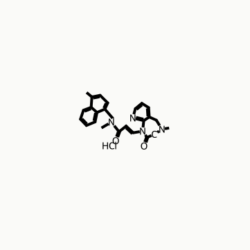 Cc1ccc(CN(C)C(=O)C=CN2C(=O)CN(C)Cc3cccnc32)c2ccccc12.Cl